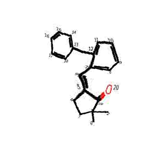 CC1(C)CC/C(=C/c2ccccc2-c2ccccc2)C1=O